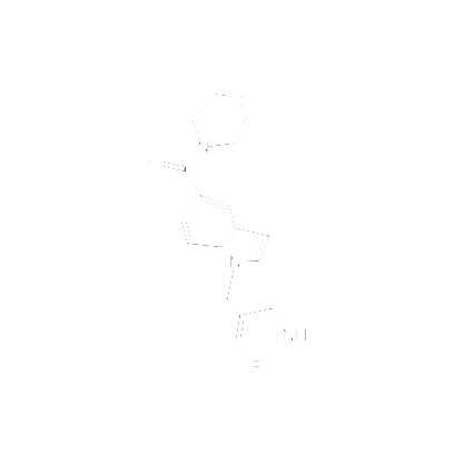 NC/C(=C\F)Cn1ccc2cc(C(=O)N3CCOCC3)ccc21